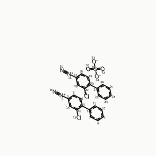 N#[N+]c1ccc(-c2ccccc2)c(Cl)c1.N#[N+]c1ccc(-c2ccccc2)c(Cl)c1.O=S(=O)([O-])[O-]